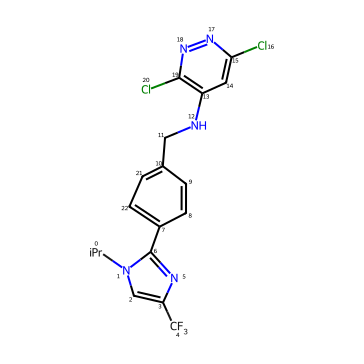 CC(C)n1cc(C(F)(F)F)nc1-c1ccc(CNc2cc(Cl)nnc2Cl)cc1